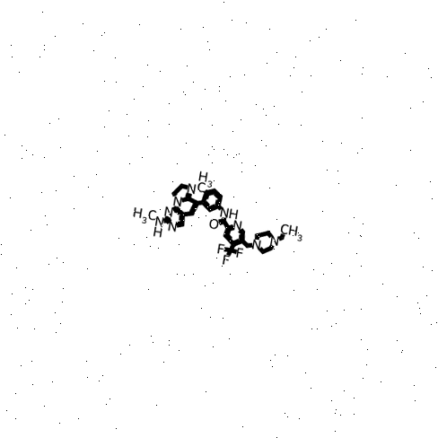 CCN1CCN(Cc2cnc(C(=O)Nc3ccc(C)c(C4=Cc5cnc(NC)nc5N5CCN=C45)c3)cc2C(F)(F)F)CC1